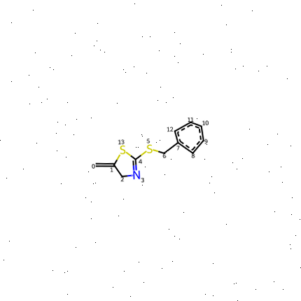 C=C1CN=C(SCc2ccccc2)S1